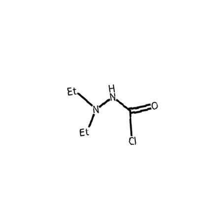 CCN(CC)NC(=O)Cl